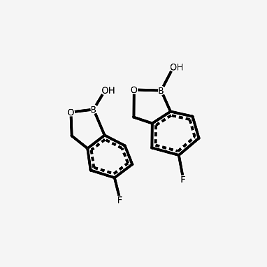 OB1OCc2cc(F)ccc21.OB1OCc2cc(F)ccc21